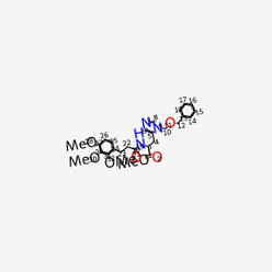 COC(=O)[C@H](Cc1cncn1COCc1ccccc1)NC(=O)CCc1ccc(OC)c(OC)c1OC